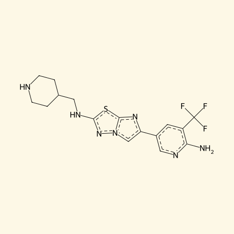 Nc1ncc(-c2cn3nc(NCC4CCNCC4)sc3n2)cc1C(F)(F)F